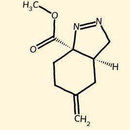 C=C1CC[C@@]2(C(=O)OC)N=NC[C@H]2C1